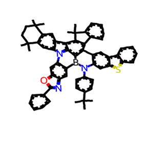 CC(C)(C)c1ccc(N2B3c4cc5nc(-c6ccccc6)oc5cc4-n4c5cc6c(cc5c5c7c(c(c3c54)-c3cc4c(cc32)sc2ccccc24)-c2ccccc2C7(C)C)C(C)(C)CCC6(C)C)cc1